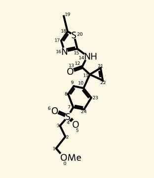 COCCCS(=O)(=O)c1ccc(C2(C(=O)Nc3ncc(C)s3)C=C2)cc1